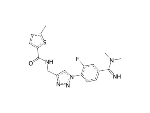 Cc1ccc(C(=O)NCc2cn(-c3ccc(C(=N)N(C)C)cc3F)nn2)s1